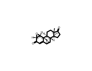 C[C@]12CC[C@H]3[C@@H](CCC4=CC(=O)[C@@H]5O[C@@H]5[C@@]43CO)[C@@H]1CCC2=O